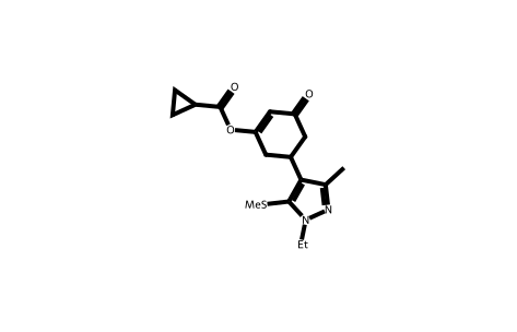 CCn1nc(C)c(C2CC(=O)C=C(OC(=O)C3CC3)C2)c1SC